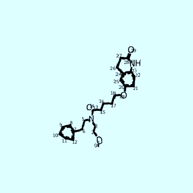 COCCN(CCc1ccccc1)C(=O)CCCCOc1ccc2c(c1)CCC(=O)N2